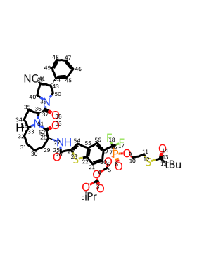 CC(C)OC(=O)OCOP(=O)(OCCSC(=O)C(C)(C)C)C(F)(F)c1ccc2sc(C(=O)N[C@H]3CCCC[C@H]4CC[C@@H](C(=O)N5C[C@@H](C#N)[C@H](c6ccccc6)C5)N4C3=O)cc2c1